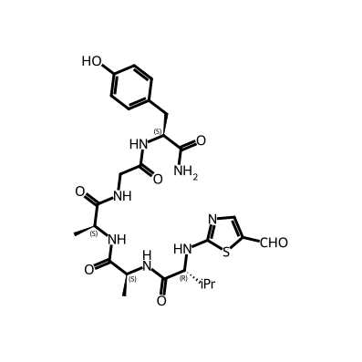 CC(C)[C@@H](Nc1ncc(C=O)s1)C(=O)N[C@@H](C)C(=O)N[C@@H](C)C(=O)NCC(=O)N[C@@H](Cc1ccc(O)cc1)C(N)=O